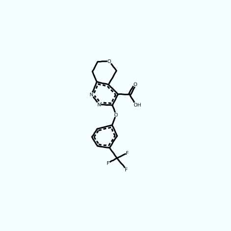 O=C(O)c1c(Oc2cccc(C(F)(F)F)c2)nnc2c1COCC2